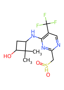 CC1(C)C(O)CC1Nc1nc(C[SH](=O)=O)ncc1C(F)(F)F